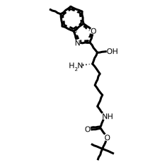 Cc1ccc2oc(C(O)[C@@H](N)CCCCNC(=O)OC(C)(C)C)nc2c1